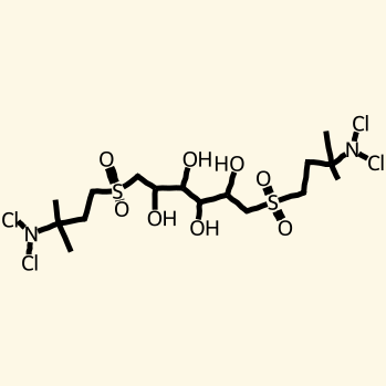 CC(C)(CCS(=O)(=O)CC(O)C(O)C(O)C(O)CS(=O)(=O)CCC(C)(C)N(Cl)Cl)N(Cl)Cl